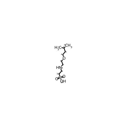 CC(C)CCOCCNCCS(=O)(=O)O